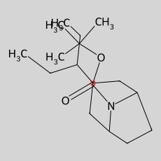 CCC(CC)C1CC2CCC(C1)N2C(=O)OC(C)(C)C